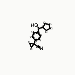 N#CC1(c2ccc(C(O)C3CCCC3)cc2)CC1